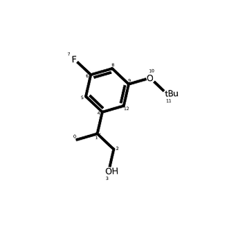 C[C](CO)c1cc(F)cc(OC(C)(C)C)c1